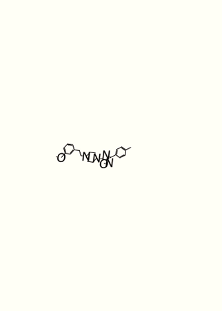 COc1cccc(CCN2CCN(c3nc(-c4ccc(C)cc4)no3)CC2)c1